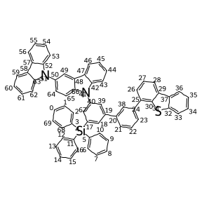 c1ccc([Si](c2ccccc2)(c2ccccc2)c2cc(-c3cccc(-c4cccc5c4sc4ccccc45)c3)cc(-n3c4ccccc4c4cc(-n5c6ccccc6c6ccccc65)ccc43)c2)cc1